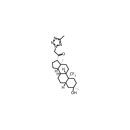 Cc1nnn(CC(=O)[C@H]2CC[C@H]3[C@@H]4CC[C@H]5C[C@](C)(O)CC[C@]5(C(F)(F)F)[C@H]4CC[C@]23C)n1